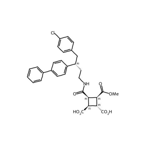 COC(=O)[C@H]1[C@H](C(=O)O)[C@@H](C(=O)O)[C@H]1C(=O)NCC[C@@H](Cc1ccc(Cl)cc1)c1ccc(-c2ccccc2)cc1